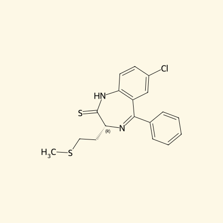 CSCC[C@H]1N=C(c2ccccc2)c2cc(Cl)ccc2NC1=S